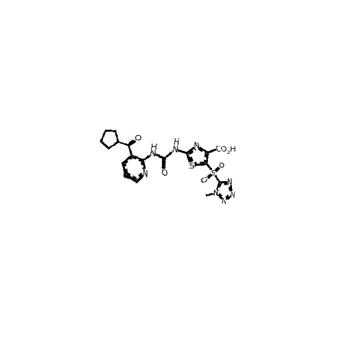 Cn1nnnc1S(=O)(=O)c1sc(NC(=O)Nc2ncccc2C(=O)C2CCCC2)nc1C(=O)O